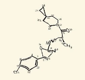 C[C@@H](Nc1nnc(-c2ccc(Cl)cc2)o1)C(=O)N1CCC2(CC1)CC2